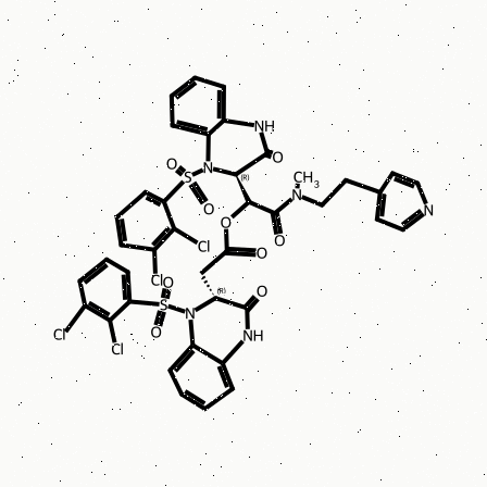 CN(CCc1ccncc1)C(=O)C(OC(=O)C[C@@H]1C(=O)Nc2ccccc2N1S(=O)(=O)c1cccc(Cl)c1Cl)[C@@H]1C(=O)Nc2ccccc2N1S(=O)(=O)c1cccc(Cl)c1Cl